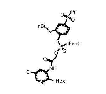 CCCCCCc1ncc(Cl)cc1NC(=O)COP(=S)(CCCCC)Sc1ccc(S(=O)(=O)C(C)C)cc1SCCCC